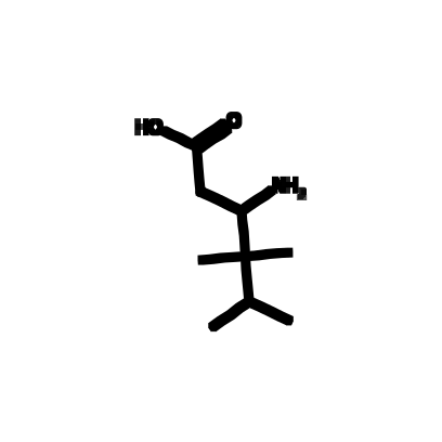 CC(C)C(C)(C)C(N)CC(=O)O